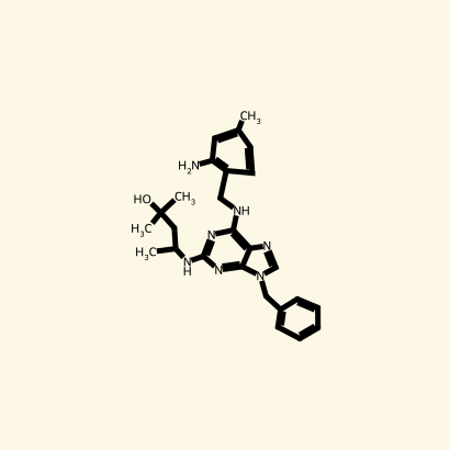 Cc1ccc(CNc2nc(NC(C)CC(C)(C)O)nc3c2ncn3Cc2ccccc2)c(N)c1